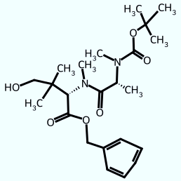 C[C@H](C(=O)N(C)[C@H](C(=O)OCc1ccccc1)C(C)(C)CO)N(C)C(=O)OC(C)(C)C